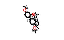 C[C@]12CC[C@H]3[C@@H](CC=C4C[C@@H](O[Si](C)(C)C)CC[C@@]43CO[Si](C)(C)C)[C@@H]1CC[C@]2(C)O[Si](C)(C)C